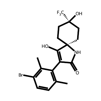 Cc1ccc(Br)c(C)c1C1=C(O)[C@]2(CC[C@@](O)(C(F)(F)F)CC2)NC1=O